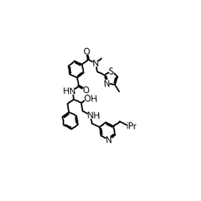 Cc1csc(CN(C)C(=O)c2cccc(C(=O)NC(Cc3ccccc3)C(O)CNCc3cncc(CC(C)C)c3)c2)n1